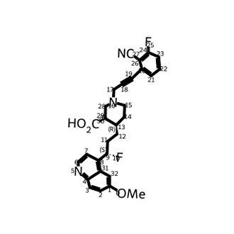 COc1ccc2nccc([C@@H](F)CC[C@@H]3CCN(CC#Cc4cccc(F)c4C#N)C[C@@H]3C(=O)O)c2c1